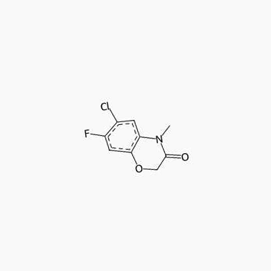 CN1C(=O)COc2cc(F)c(Cl)cc21